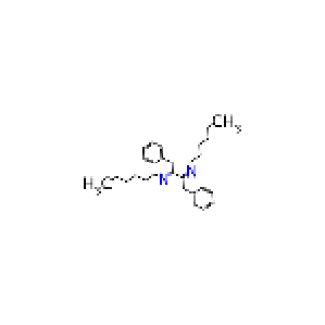 CCCCCCN=C(Cc1ccccc1)C(Cc1ccccc1)=NCCCCCC